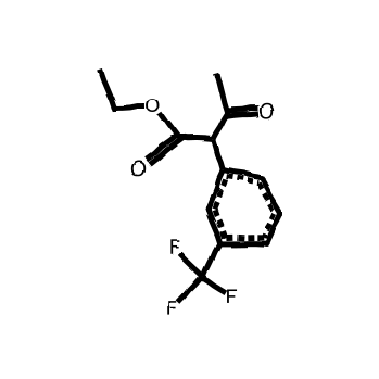 CCOC(=O)C(C(C)=O)c1cccc(C(F)(F)F)c1